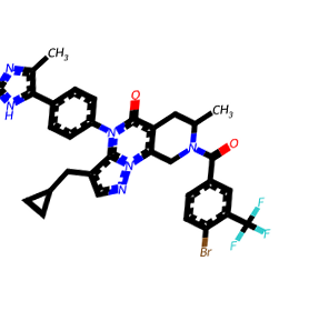 Cc1nc[nH]c1-c1ccc(-n2c(=O)c3c(n4ncc(CC5CC5)c24)CN(C(=O)c2ccc(Br)c(C(F)(F)F)c2)C(C)C3)cc1